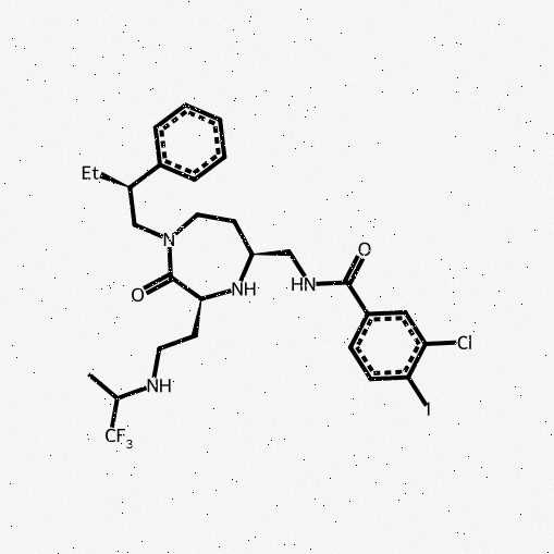 CC[C@H](CN1CC[C@@H](CNC(=O)c2ccc(I)c(Cl)c2)N[C@@H](CCNC(C)C(F)(F)F)C1=O)c1ccccc1